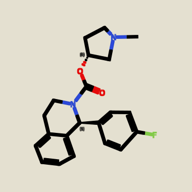 CN1CC[C@@H](OC(=O)N2CCc3ccccc3[C@@H]2c2ccc(F)cc2)C1